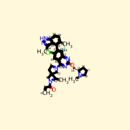 C=CC(=O)N1CC2(CCN(c3nc(OC[C@@H]4CCCN4C)nc4c(F)c(-c5c(C)ccc6[nH]nc(C)c56)c(Cl)cc34)C2)C1C